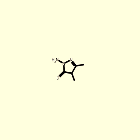 CC1=NN(N)C(=O)C1C